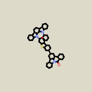 O=c1c2ccccc2c2cc(-c3ccc4c(c3)sc3cc(-n5c6ccccc6c6ccc7c8ccccc8n(-c8ccccc8)c7c65)ccc34)cc3c4ccccc4n1c23